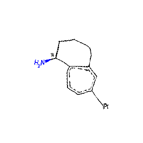 CC(C)c1ccc2c(c1)CCC[C@@H]2N